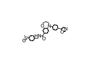 C[S+]([O-])c1ccc(CNC(=O)c2ccc3c(c2)OCCCN3c2ccc(-c3cnco3)cc2)cc1